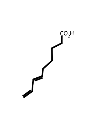 C=C/C=C/CCCCC(=O)O